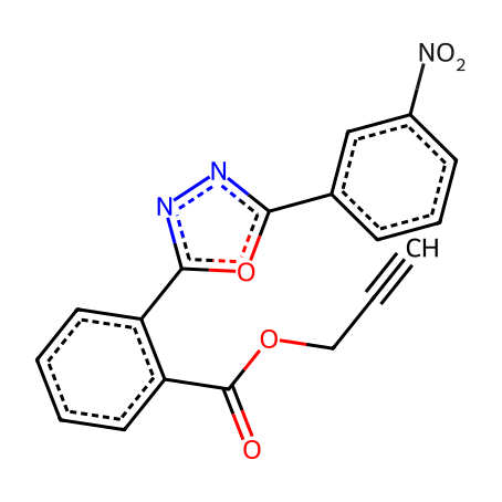 C#CCOC(=O)c1ccccc1-c1nnc(-c2cccc([N+](=O)[O-])c2)o1